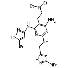 CCN(CC)CCc1c(N)nc(NCc2cc(C(C)C)no2)nc1Nc1cc(C(C)C)[nH]n1